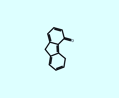 O=C1C=CC=C2CC3=CC=CCC3=C12